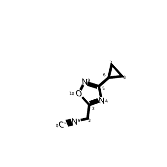 [C-]#[N+]Cc1nc(C2CC2)no1